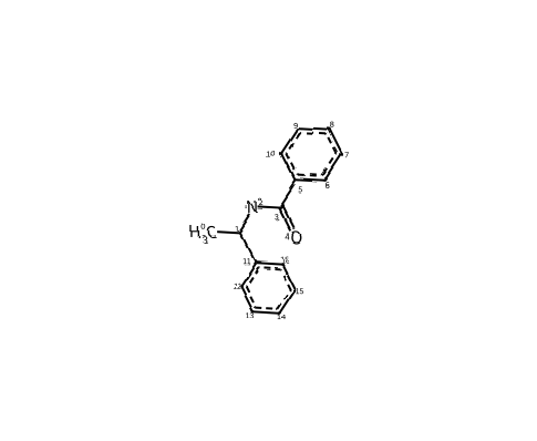 CC([N]C(=O)c1ccccc1)c1ccccc1